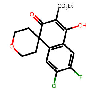 CCOC(=O)C1=C(O)c2cc(F)c(Cl)cc2C2(CCOCC2)C1=O